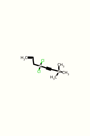 C=CC[Si](Cl)(Cl)C#C[Si](C)(C)C